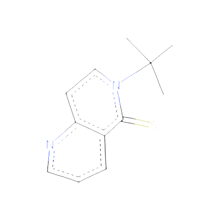 CC(C)(C)n1ccc2ncccc2c1=S